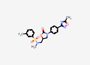 Cc1nc(-c2ccc(N3CC(CN(C)S(=O)(=O)c4cccc(C(F)(F)F)c4)OC3=O)cc2)no1